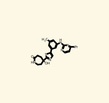 Cc1cc(Nc2nccc(C(C)C)n2)cc(-c2cnc([C@]3(O)CCNC(=O)CC3)s2)c1